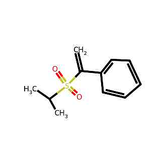 C=C(c1ccccc1)S(=O)(=O)C(C)C